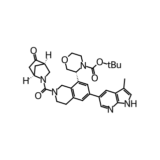 Cc1c[nH]c2ncc(-c3cc4c(c([C@@H]5COCCN5C(=O)OC(C)(C)C)c3)CN(C(=O)N3C[C@H]5C[C@@H]3CC5=O)CC4)cc12